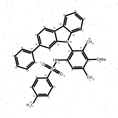 COc1c(C)cc(NS(=O)(=O)c2ccc(C)cc2)c(-n2c3ccccc3c3ccc(-c4ccccc4)cc32)c1C